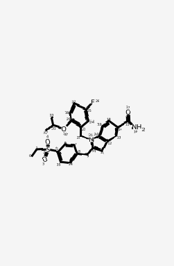 CCS(=O)(=O)c1ccc(Cc2cc3cc(C(N)=O)ccc3n2Cc2cc(F)ccc2OC(C)C)cc1